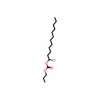 CCCCCCCCCCCC(Cl)OC(=O)OCCC